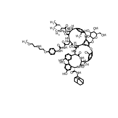 CN[C@H](CC(C)C)C(=O)N[C@H]1C(=O)N[C@@H](CC(=O)NC(=O)Nc2ccc(OCCNCCOC)cc2)C(=O)N[C@H]2C(=O)N[C@H]3C(=O)N[C@H](C(=O)N[C@H](C(=O)NC4C5CC6CC(C5)CC4C6)c4cc(O)cc(O)c4-c4cc3ccc4O)[C@H](O)c3ccc(c(Cl)c3)Oc3cc2cc(c3O[C@@H]2O[C@H](CO)[C@@H](O)[C@H](O)[C@H]2O)Oc2ccc(cc2C)[C@H]1O